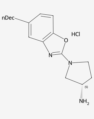 CCCCCCCCCCc1ccc2oc(N3CC[C@H](N)C3)nc2c1.Cl